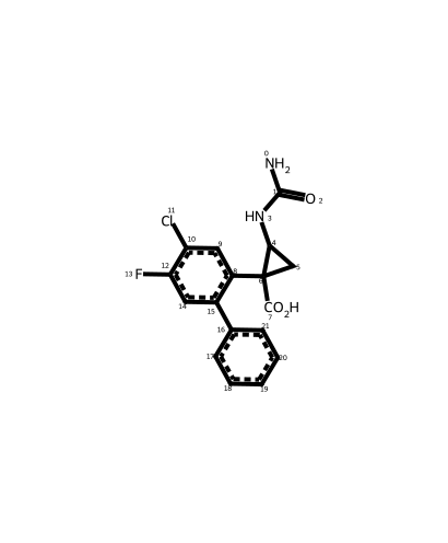 NC(=O)NC1CC1(C(=O)O)c1cc(Cl)c(F)cc1-c1ccccc1